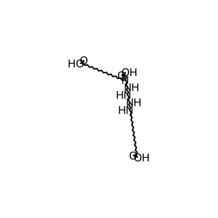 O=C(O)CCCCCCCCCCCCCCCC=CNCCNCCNCCNCCN(C=CCCCCCCCCCCCCCCCC(=O)O)CC(=O)O